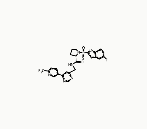 O=C(NCc1cc(-c2ccc(C(F)(F)F)nc2)ncn1)[C@@H]1CCCN1S(=O)(=S)c1cc2cc(F)ccc2o1